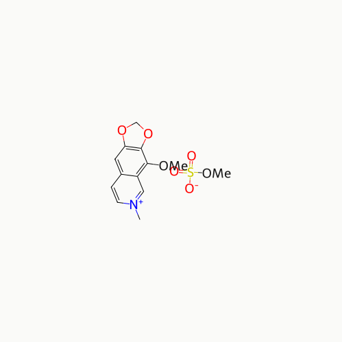 COS(=O)(=O)[O-].COc1c2c(cc3cc[n+](C)cc13)OCO2